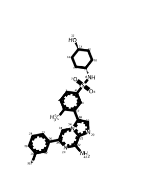 Cc1ccc(S(=O)(=O)N[C@H]2CC[C@H](O)CC2)cc1-c1cnc2c(N)nc(-c3cccc(F)c3)cn12